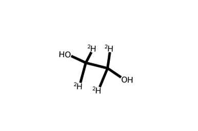 [2H]C([2H])(O)C([2H])([2H])O